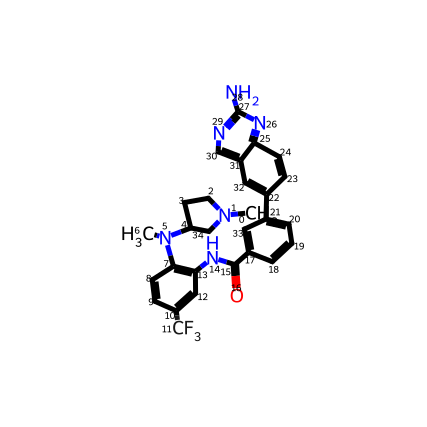 CN1CCC(N(C)c2ccc(C(F)(F)F)cc2NC(=O)c2cccc(-c3ccc4nc(N)ncc4c3)c2)C1